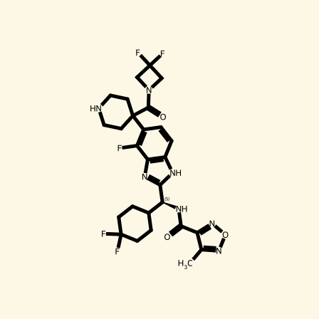 Cc1nonc1C(=O)N[C@H](c1nc2c(F)c(C3(C(=O)N4CC(F)(F)C4)CCNCC3)ccc2[nH]1)C1CCC(F)(F)CC1